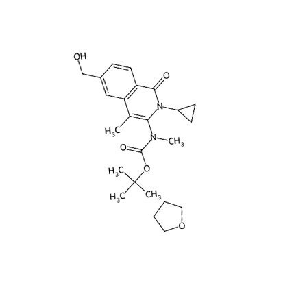 C1CCOC1.Cc1c(N(C)C(=O)OC(C)(C)C)n(C2CC2)c(=O)c2ccc(CO)cc12